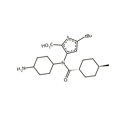 CC(C)(C)c1cc(N(C(=O)[C@H]2CC[C@H](C)CC2)C2CCC(N)CC2)c(C(=O)O)s1